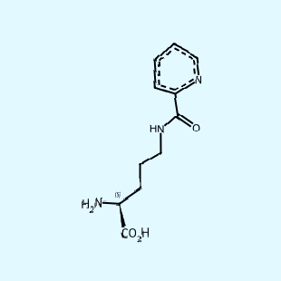 N[C@@H](CCCNC(=O)c1ccccn1)C(=O)O